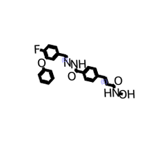 O=C(/C=C/c1ccc(C(=O)N/N=C/c2ccc(F)c(Oc3ccccc3)c2)cc1)NO